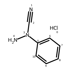 Cl.N#CN(N)c1ccccc1